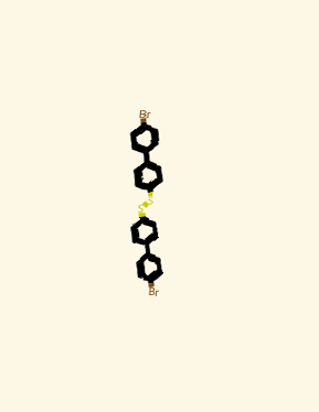 Brc1ccc(-c2ccc(SSc3ccc(-c4ccc(Br)cc4)cc3)cc2)cc1